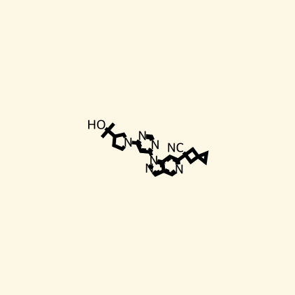 CC(C)(O)C1CCN(c2cc(-n3ncc4cnc(C5(C#N)CC6(CC6)C5)cc43)ncn2)C1